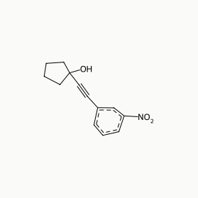 O=[N+]([O-])c1cccc(C#CC2(O)CCCC2)c1